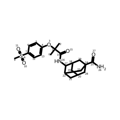 CC(C)(Oc1ccc(S(C)(=O)=O)cc1)C(=O)NC1C2CC3CC1CC(C(N)=O)(C3)C2